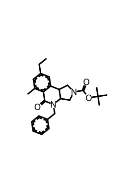 CCc1cc(C)c2c(c1)C1CN(C(=O)OC(C)(C)C)CC1N(Cc1ccccc1)C2=O